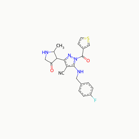 CC1NCC(=O)C1c1nn(C(=O)c2ccsc2)c(NCc2ccc(F)cc2)c1C#N